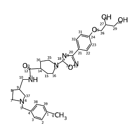 Cc1ccc(CN2CCC(CNC(=O)C3CCN(c4nc(-c5ccc(OCC(O)CO)cc5)no4)CC3)C2)cc1